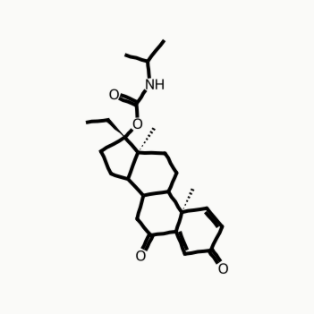 CC[C@]1(OC(=O)NC(C)C)CCC2C3CC(=O)C4=CC(=O)C=C[C@]4(C)C3CC[C@@]21C